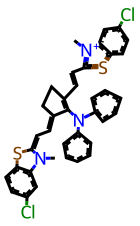 CN1/C(=C\C=C2/CCC(/C=C/c3sc4ccc(Cl)cc4[n+]3C)=C2N(c2ccccc2)c2ccccc2)Sc2ccc(Cl)cc21